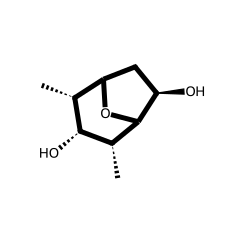 C[C@@H]1C2C[C@@H](O)C(O2)[C@H](C)[C@@H]1O